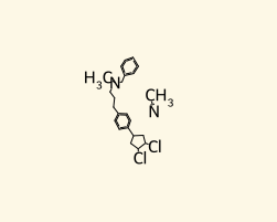 CC#N.CN(CCCc1ccc(C2CC(Cl)C(Cl)C2)cc1)Cc1ccccc1